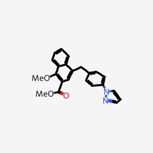 COC(=O)c1cc(Cc2ccc(-n3cccn3)cc2)c2ccccc2c1OC